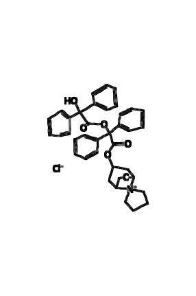 O=C(OC(C(=O)OC1CC2CCC(C1)[N+]21CCCC1)(c1ccccc1)c1ccccc1)C(O)(c1ccccc1)c1ccccc1.[Cl-]